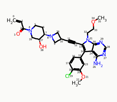 C=CC(=O)N1CC[C@@H](N2CC(C#Cc3c(-c4ccc(Cl)c(OC)c4)c4c(N)ncnc4n3CCOC)C2)[C@@H](O)C1